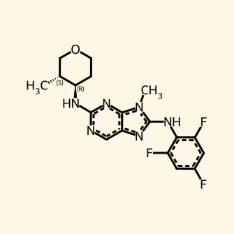 C[C@@H]1COCC[C@H]1Nc1ncc2nc(Nc3c(F)cc(F)cc3F)n(C)c2n1